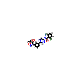 CC1(C)ON=C(c2cccc(C3CN=C(NC(=O)c4c(F)cccc4F)C=N3)c2)C1=O